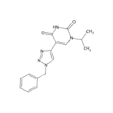 CC(C)n1cc(-c2cn(Cc3ccccc3)nn2)c(=O)[nH]c1=O